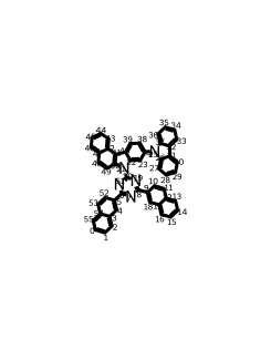 c1ccc2cc(-c3nc(-c4ccc5ccccc5c4)nc(-n4c5cc(-n6c7ccccc7c7ccccc76)ccc5c5c6ccccc6ccc54)n3)ccc2c1